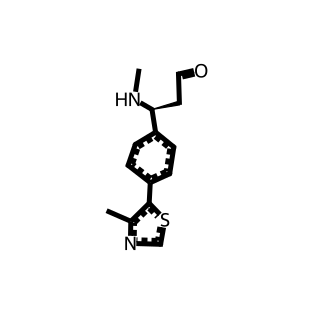 CN[C@@H](CC=O)c1ccc(-c2scnc2C)cc1